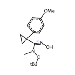 COc1ccc(C2(/C(=N/O)N(C)OC(C)(C)C)CC2)cc1